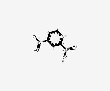 O=[N+]([O-])c1ccnc([N+](=O)[O-])c1